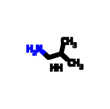 CC(C)CN.[HH]